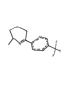 CC1CCCC(c2ccc(C(F)(F)F)cn2)=N1